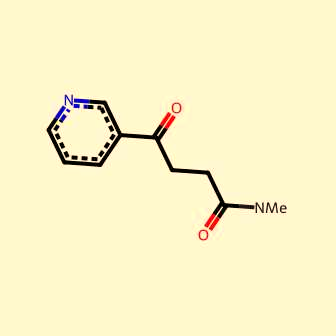 CNC(=O)CCC(=O)c1cccnc1